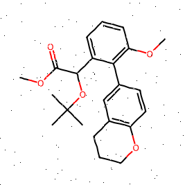 COC(=O)C(OC(C)(C)C)c1cccc(OC)c1-c1ccc2c(c1)CCCO2